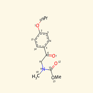 CCCOc1ccc(C(=O)CN(C)C(=O)OC)cc1